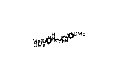 COc1ccc(-c2ccc(CCCNc3ccc(C(OC)OC)cc3)nn2)cc1